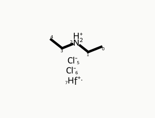 CC[NH2+]CC.[Cl-].[Cl-].[Hf+]